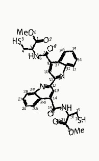 COC(=O)C(CS)NC(=O)c1cc(-c2cc(C(=O)NC(CS)C(=O)OC)c3ccccc3n2)nc2ccccc12